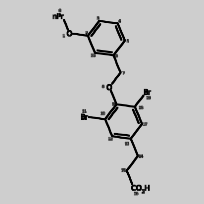 CCCOc1cccc(COc2c(Br)cc(CCC(=O)O)cc2Br)c1